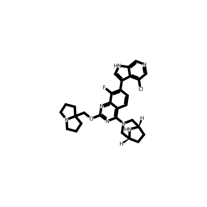 Fc1c(-c2c[nH]c3cncc(Cl)c23)ccc2c(N3C[C@H]4CC[C@@H](C3)N4)nc(OCC34CCCN3CCC4)nc12